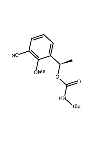 COc1c(C#N)cccc1[C@@H](C)OC(=O)NC(C)(C)C